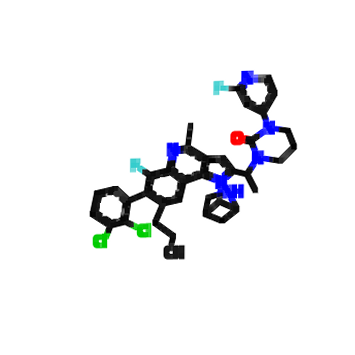 Cc1nc2c(F)c(-c3cccc(Cl)c3Cl)c(CCC#N)cc2c2c1cc(C(C)N1CCCN(c3ccnc(F)c3)C1=O)n2C1C2CNC1C2